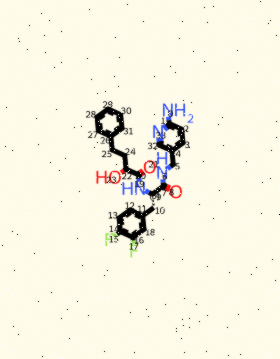 Nc1ccc(CNC(=O)[C@H](Cc2ccc(F)c(F)c2)NC(=O)C(O)CCc2ccccc2)cn1